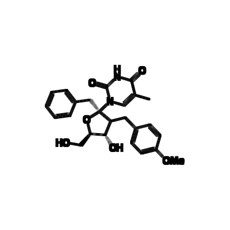 COc1ccc(CC2[C@H](O)[C@@H](CO)O[C@@]2(Cc2ccccc2)n2cc(C)c(=O)[nH]c2=O)cc1